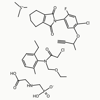 C#CC(C)Oc1cc(N2C(=O)C3=C(CCCC3)C2=O)c(F)cc1Cl.CCOCN(C(=O)CCl)c1c(C)cccc1CC.C[S+](C)C.O=C(O)CNCP(=O)([O-])O